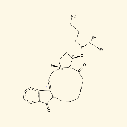 [C-]#[N+]CCOP(O[C@@H]1CC[C@H]2C/C=C3/c4ccccc4C(=O)N3CCCCCC(=O)N21)N(C(C)C)C(C)C